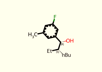 CCCC[C@H](CC)[C@@H](O)c1cc(C)cc(F)c1